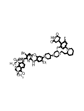 CCc1cc(Nc2ncc(Br)c(Nc3ccc4c(=O)n(C)cnc4c3P(C)(C)=O)n2)c(OC)cc1N1CCC(N2CCN(CCC3CCCCN3c3cc(F)c(C4CC(=O)NC(=O)C4)c(F)c3)CC2)CC1